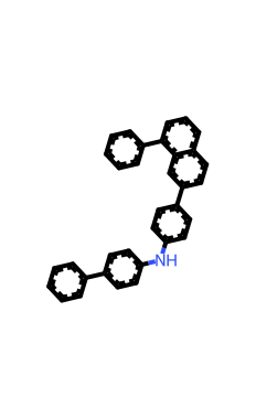 c1ccc(-c2ccc(Nc3ccc(-c4ccc5cccc(-c6ccccc6)c5c4)cc3)cc2)cc1